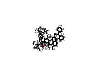 [2H]C([2H])(Oc1nc(N2CCOC[C@H]3[C@H](F)[C@H]32)c2cc(F)c(-c3cc(N=C(c4ccccc4)c4ccccc4)cc4ccc(F)c(C#C[Si](C(C)C)(C(C)C)C(C)C)c34)c(C)c2n1)[C@@]12CCCN1C[C@H](F)C2